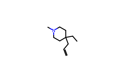 C=CCC1(CC)CCN(C)CC1